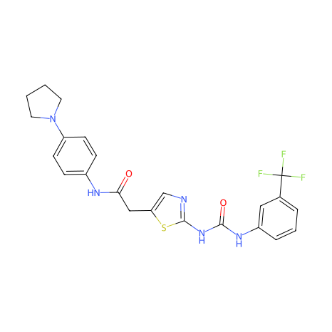 O=C(Cc1cnc(NC(=O)Nc2cccc(C(F)(F)F)c2)s1)Nc1ccc(N2CCCC2)cc1